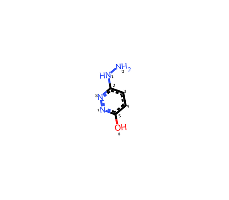 NNc1ccc(O)nn1